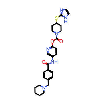 O=C(Nc1ccc(OC(=O)N2CCC(Sc3ncc[nH]3)CC2)nc1)c1ccc(CN2CCCCC2)cc1